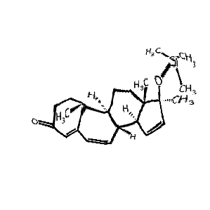 C[C@]12CCC(=O)C=C1C=C[C@@H]1[C@@H]2CC[C@@]2(C)[C@H]1C=C[C@]2(C)O[Si](C)(C)C